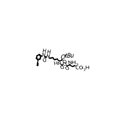 C#Cc1cccc(NC(=O)NCCCCC(NC(=O)OC(=O)C(N)CCC(=O)O)C(=O)OC(C)(C)C)c1